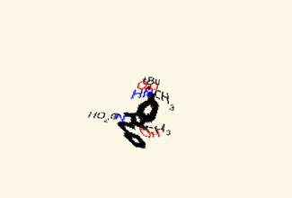 C[C@H](NC(=O)OC(C)(C)C)c1ccc(C(C)(O)C2CCN(C(=O)O)C(Cc3ccccc3)C2)cc1